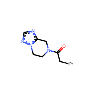 CC(C)CC(=O)N1CCn2ncnc2C1